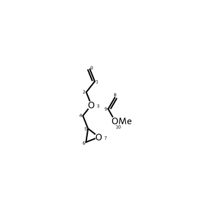 C=CCOCC1CO1.C=COC